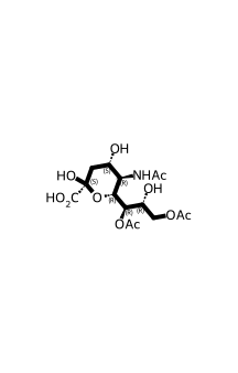 CC(=O)N[C@H]1[C@H]([C@H](OC(C)=O)[C@H](O)COC(C)=O)O[C@](O)(C(=O)O)C[C@@H]1O